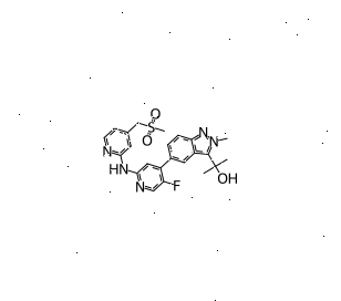 Cn1nc2ccc(-c3cc(Nc4cc(CS(C)(=O)=O)ccn4)ncc3F)cc2c1C(C)(C)O